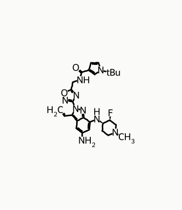 C=Cc1c2cc(N)cc(N[C@@H]3CCN(C)C[C@@H]3F)c2nn1-c1noc(CNC(=O)c2ccn(C(C)(C)C)c2)n1